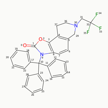 O=c1oc2c3c(ccc2n1C(c1ccccc1)(c1ccccc1)c1ccccc1)CN(CC(F)(F)F)CC3